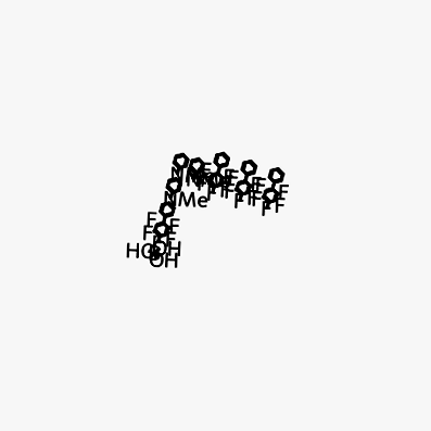 CNc1ccccc1.CNc1ccccc1.CNc1ccccc1.Fc1c(F)c(F)c(-c2ccccc2)c(F)c1F.Fc1c(F)c(F)c(-c2ccccc2)c(F)c1F.Fc1c(F)c(F)c(-c2ccccc2)c(F)c1F.Fc1c(F)c(F)c(-c2ccccc2)c(F)c1F.OB(O)O